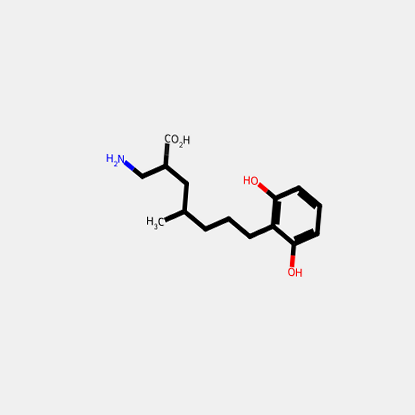 CC(CCCc1c(O)cccc1O)CC(CN)C(=O)O